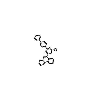 Clc1cc(-c2cc3ccccc3c3ccccc23)nc(-c2ccc(-c3ccccc3)cc2)n1